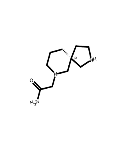 NC(=O)CN1CCC[C@@]2(CCNC2)C1